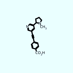 CN1CCCC1c1cncc(C#Cc2ccc(C(=O)O)cc2)c1